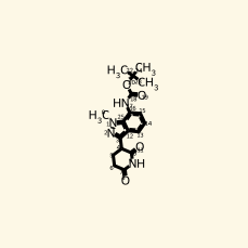 Cn1nc(C2CCC(=O)NC2=O)c2cccc(NC(=O)OC(C)(C)C)c21